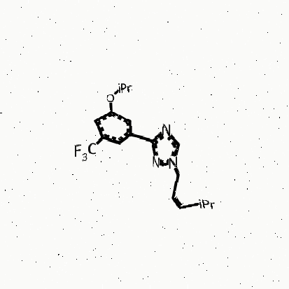 CC(C)/C=C\Cn1cnc(-c2cc(OC(C)C)cc(C(F)(F)F)c2)n1